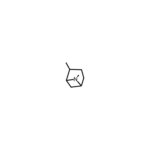 CC1CCC2CC1N2C